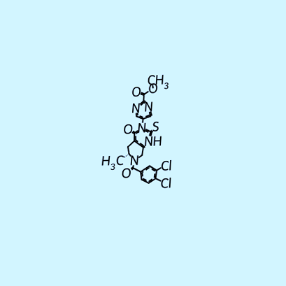 COC(=O)c1ncc(-n2c(=S)[nH]c3c(c2=O)C[C@@H](C)N(C(=O)c2ccc(Cl)c(Cl)c2)C3)cn1